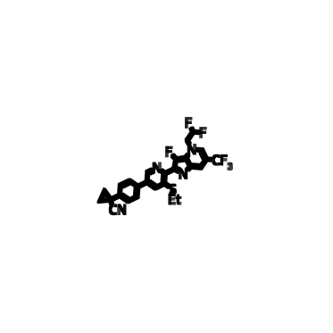 CCSc1cc(-c2ccc(C3(C#N)CC3)cc2)cnc1-c1nc2cc(C(F)(F)F)cn(CC(F)F)c-2c1F